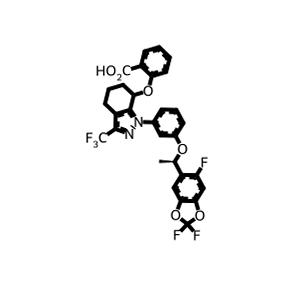 C[C@@H](Oc1cccc(-n2nc(C(F)(F)F)c3c2C(Oc2ccccc2C(=O)O)CCC3)c1)c1cc2c(cc1F)OC(F)(F)O2